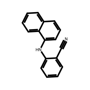 N#Cc1ccccc1Nc1cccc2ccccc12